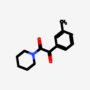 Cc1[c]ccc(C(=O)C(=O)N2CCCCC2)c1